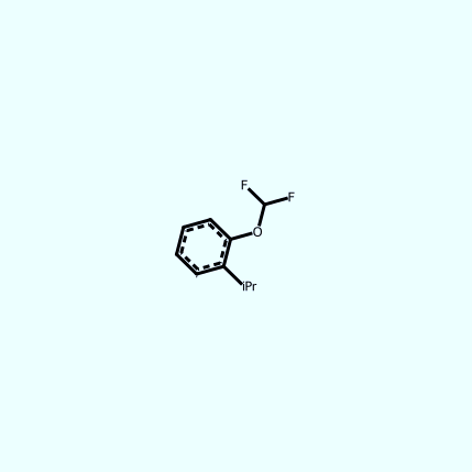 CC(C)c1[c]cccc1OC(F)F